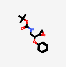 CC(C)(C)OC(=O)NCC(Oc1ccccc1)C1CO1